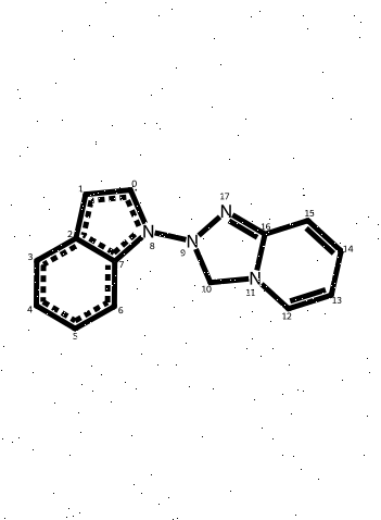 [c]1cc2ccccc2n1N1CN2C=CC=CC2=N1